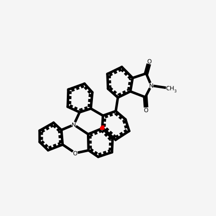 CN1C(=O)c2cccc(-c3ccccc3-c3ccccc3N3c4ccccc4Oc4ccccc43)c2C1=O